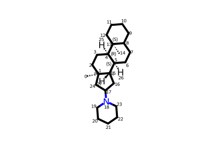 C[C@]12CC[C@@H]3[C@@H](CCC4CCCC[C@@]43C)[C@@H]1CC(N1CCCCC1)C2